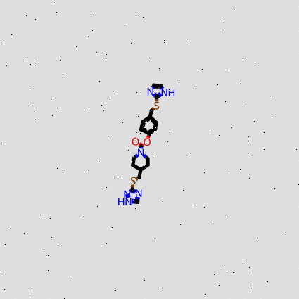 O=C(Oc1ccc(CSc2ncc[nH]2)cc1)N1CCC(CSc2nc[nH]n2)CC1